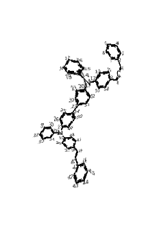 C(=Cc1ccccc1)=Cc1ccc(N(c2ccccc2)c2ccc(-c3ccc(N(c4ccccc4)c4ccc(C=Cc5ccccc5)cc4)cc3)cc2)cc1